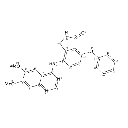 COc1cc2ncnc(Nc3ccc(Oc4ccccc4)c4c3CNC4=O)c2cc1OC